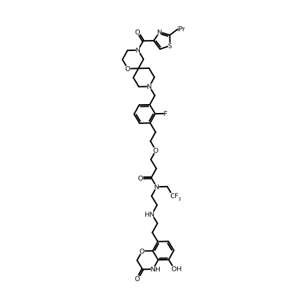 CC(C)c1nc(C(=O)N2CCOC3(CCN(Cc4cccc(CCOCCC(=O)N(CCNCCc5ccc(O)c6c5OCC(=O)N6)CC(F)(F)F)c4F)CC3)C2)cs1